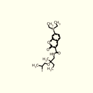 CCN(CC)c1ccc2cc(C(=O)NCC(C)(CC)OCC(C)I)c(=O)oc2c1